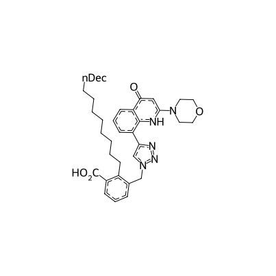 CCCCCCCCCCCCCCCCCCc1c(Cn2cc(-c3cccc4c(=O)cc(N5CCOCC5)[nH]c34)nn2)cccc1C(=O)O